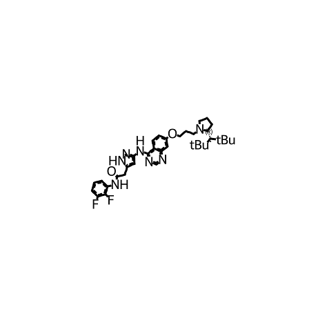 CC(C)(C)[C]([C@H]1CCCN1CCCOc1ccc2c(Nc3cc(CC(=O)Nc4cccc(F)c4F)[nH]n3)ncnc2c1)C(C)(C)C